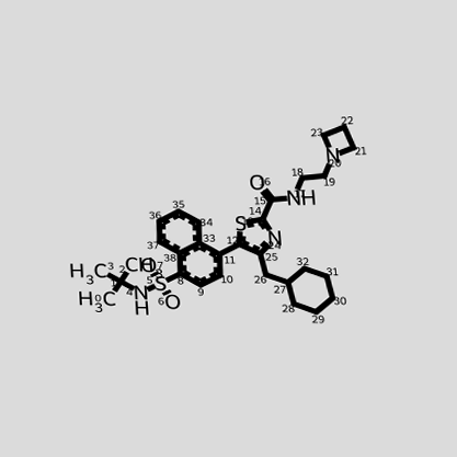 CC(C)(C)NS(=O)(=O)c1ccc(-c2sc(C(=O)NCCN3CCC3)nc2CC2CCCCC2)c2ccccc12